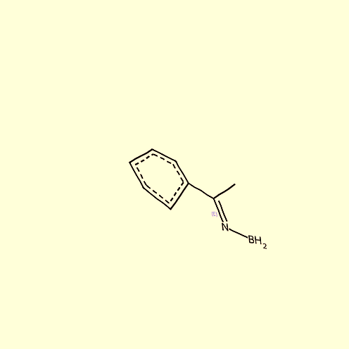 B/N=C(\C)c1ccccc1